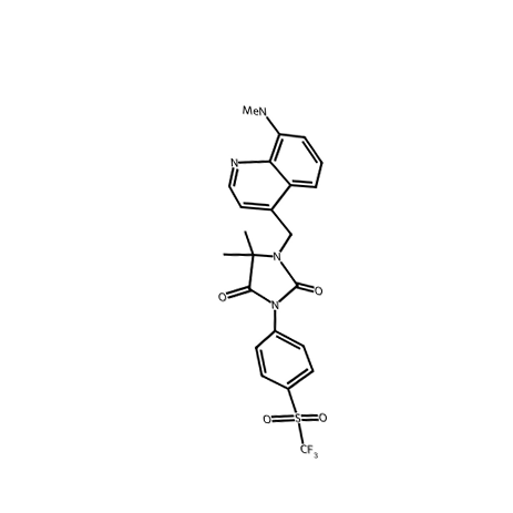 CNc1cccc2c(CN3C(=O)N(c4ccc(S(=O)(=O)C(F)(F)F)cc4)C(=O)C3(C)C)ccnc12